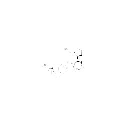 CC[C@]1(NC(=O)OC(C)(C)C)CC[C@H](Oc2ncnc3sc4c(c23)[C@@H](CC=O)CC4)CC1